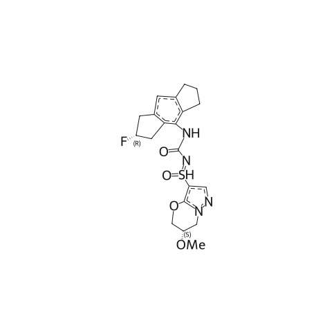 CO[C@@H]1COc2c([SH](=O)=NC(=O)Nc3c4c(cc5c3C[C@H](F)C5)CCC4)cnn2C1